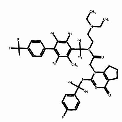 [2H]c1c([2H])c(C([2H])([2H])N(CCN(CC)CC)C(=O)Cn2c(SC([2H])([2H])c3ccc(F)cc3)nc(=O)c3c2CCC3)c(C)c([2H])c1-c1ccc(C(F)(F)F)cc1